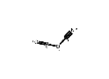 N#COB=O